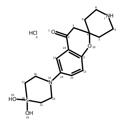 Cl.O=C1CC2(CCNCC2)Oc2ccc(N3CCS(O)(O)CC3)cc21